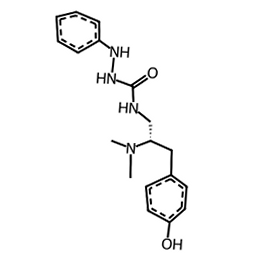 CN(C)[C@H](CNC(=O)NNc1ccccc1)Cc1ccc(O)cc1